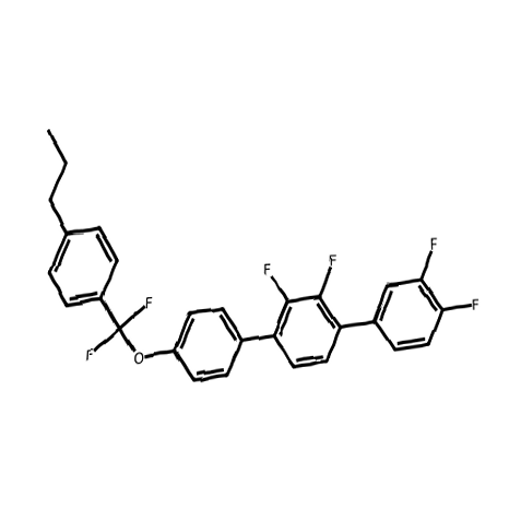 CCCc1ccc(C(F)(F)Oc2ccc(-c3ccc(-c4ccc(F)c(F)c4)c(F)c3F)cc2)cc1